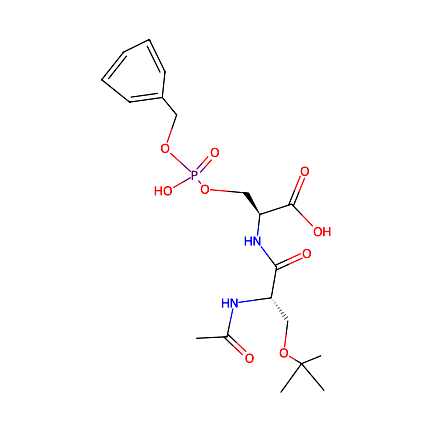 CC(=O)N[C@@H](COC(C)(C)C)C(=O)N[C@@H](COP(=O)(O)OCc1ccccc1)C(=O)O